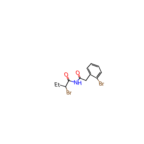 CCC(Br)C(=O)NC(=O)Cc1ccccc1Br